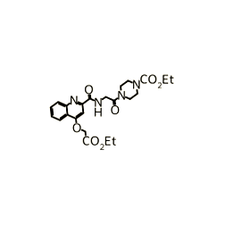 CCOC(=O)COc1cc(C(=O)NCC(=O)N2CCN(C(=O)OCC)CC2)nc2ccccc12